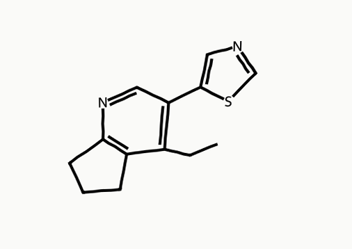 CCc1c(-c2cncs2)cnc2c1CCC2